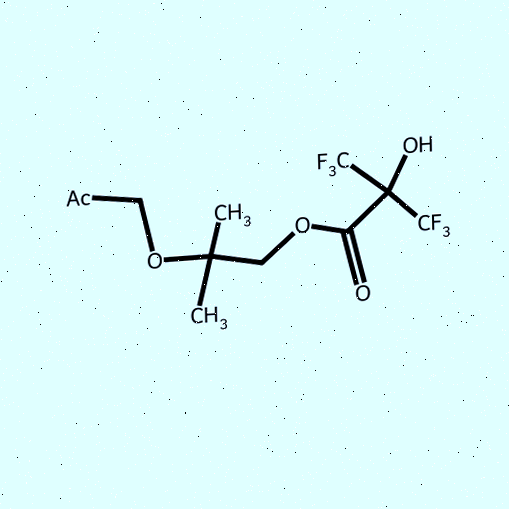 CC(=O)COC(C)(C)COC(=O)C(O)(C(F)(F)F)C(F)(F)F